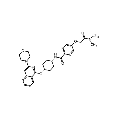 CN(C)C(=O)COc1cnc(C(=O)N[C@H]2CC[C@@H](Oc3nc(N4CCOCC4)cc4ncccc34)CC2)nc1